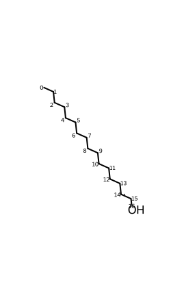 CCCCCCCCCCCCCC[CH]CO